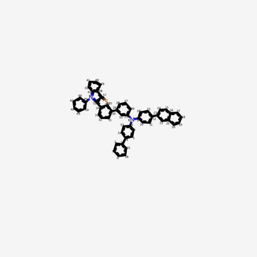 c1ccc(-c2ccc(N(c3ccc(-c4ccc5ccccc5c4)cc3)c3cccc(-c4cccc5c4sc4c6ccccc6n(-c6ccccc6)c54)c3)cc2)cc1